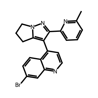 Cc1cccc(-c2nn3c(c2-c2ccnc4cc(Br)ccc24)CCC3)n1